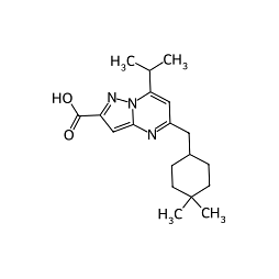 CC(C)c1cc(CC2CCC(C)(C)CC2)nc2cc(C(=O)O)nn12